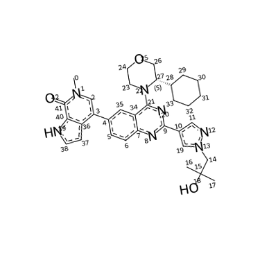 Cn1cc(-c2ccc3nc(-c4cnn(CC(C)(C)O)c4)nc(N4CCOC[C@@H]4C4CCCCC4)c3c2)c2cc[nH]c2c1=O